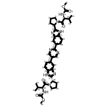 COC(=O)N[C@H](C(=O)N1CCCC1c1nc2cc(-c3ncc(-c4ccc5[nH]c([C@@H]6CCCN6C(=O)[C@@H](NC(=O)OC)C(C)C)nc5c4)cn3)ccc2[nH]1)C(C)C